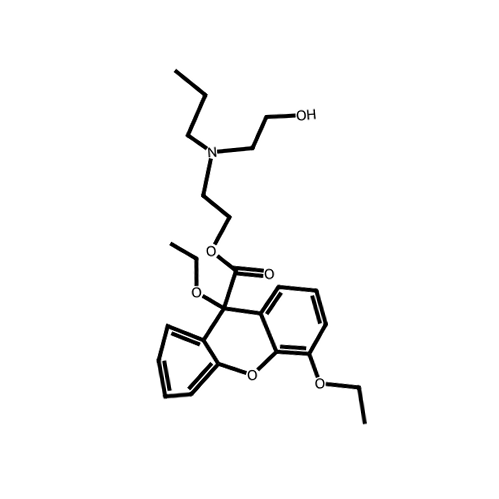 CCCN(CCO)CCOC(=O)C1(OCC)c2ccccc2Oc2c(OCC)cccc21